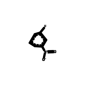 O=[N+]([O-])c1[c]ccc(F)c1